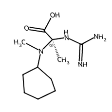 CN(C1CCCCC1)[C@](C)(NC(=N)N)C(=O)O